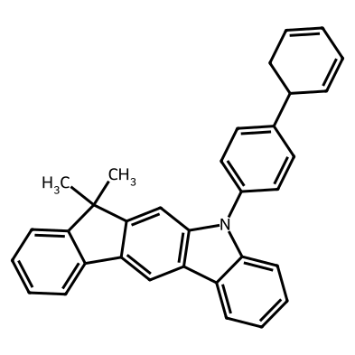 CC1(C)c2ccccc2-c2cc3c4ccccc4n(-c4ccc(C5C=CC=CC5)cc4)c3cc21